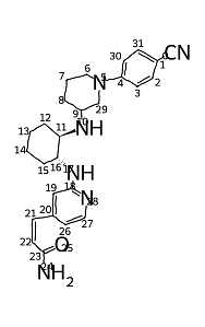 N#Cc1ccc(N2CCCC(N[C@@H]3CCCC[C@H]3Nc3cc(/C=C\C(N)=O)ccn3)C2)cc1